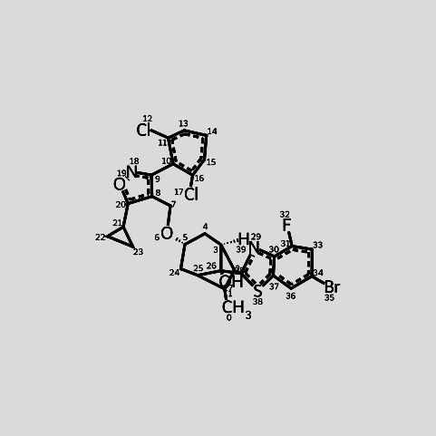 CC1C[C@@H]2C[C@@H](OCc3c(-c4c(Cl)cccc4Cl)noc3C3CC3)CC1[C@]2(O)c1nc2c(F)cc(Br)cc2s1